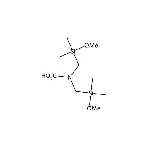 CO[Si](C)(C)CN(C[Si](C)(C)OC)C(=O)O